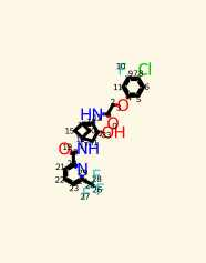 O=C(COc1ccc(Cl)c(F)c1)NC1=C2CC(NC(=O)c3cccc(C(F)(F)F)n3)(C2)CC1O